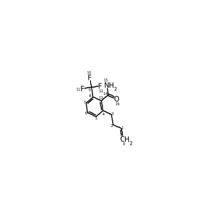 C=CC[CH]c1cccc(C(F)(F)F)c1C(N)=O